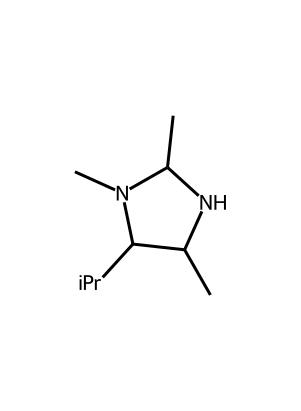 CC(C)C1C(C)NC(C)N1C